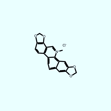 C[n+]1cc2c3c(ccc2c2ccc4cc5c(cc4c21)OCO5)OCO3.[Cl-]